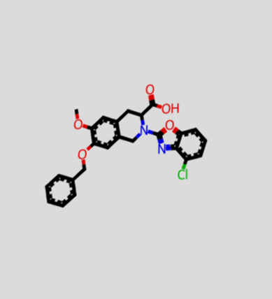 COc1cc2c(cc1OCc1ccccc1)CN(c1nc3c(Cl)cccc3o1)C(C(=O)O)C2